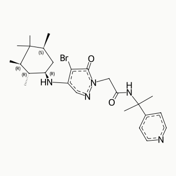 C[C@@H]1[C@@H](C)C(C)(C)[C@@H](C)C[C@H]1Nc1cnn(CC(=O)NC(C)(C)c2ccncc2)c(=O)c1Br